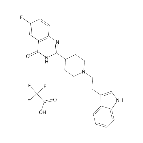 O=C(O)C(F)(F)F.O=c1[nH]c(C2CCN(CCc3c[nH]c4ccccc34)CC2)nc2ccc(F)cc12